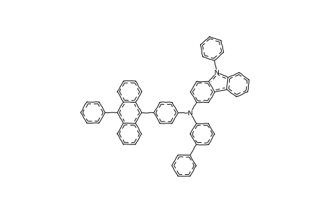 c1ccc(-c2cccc(N(c3ccc(-c4c5ccccc5c(-c5ccccc5)c5ccccc45)cc3)c3ccc4c(c3)c3ccccc3n4-c3ccccc3)c2)cc1